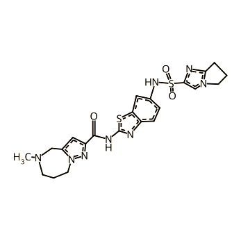 CN1CCCn2nc(C(=O)Nc3nc4ccc(NS(=O)(=O)c5cn6c(n5)CCC6)cc4s3)cc2C1